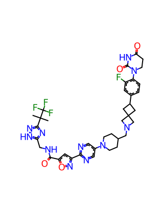 CC(C)(c1n[nH]c(CNC(=O)c2cc(-c3ncc(N4CCC(CN5CC6(CC(c7ccc(N8CCC(=O)NC8=O)c(F)c7)C6)C5)CC4)cn3)no2)n1)C(F)(F)F